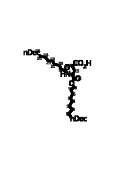 CCCCCCCCCCCCCCCCCCOC(=O)[C@H](CCC(=O)O)NC(=O)CCCCCCCCCCCCCCCCC